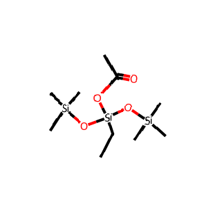 CC[Si](OC(C)=O)(O[Si](C)(C)C)O[Si](C)(C)C